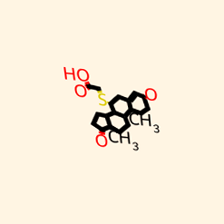 C[C@]12CCC(=O)C=C1C[C@@H](SCC(=O)O)C1C2CC[C@]2(C)C(=O)CCC12